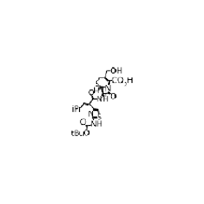 CC(C)C=C(C(=O)N[C@@H]1C(=O)N2C(C(=O)O)=C(CO)CS[C@@H]12)c1csc(NC(=O)OC(C)(C)C)n1